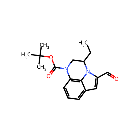 CCC1CN(C(=O)OC(C)(C)C)c2cccc3cc(C=O)n1c23